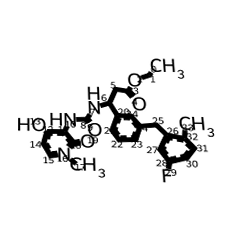 CCOC(=O)CC(NC(=O)Nc1c(O)ccn(C)c1=O)c1cccc(Cc2cc(F)ccc2C)c1